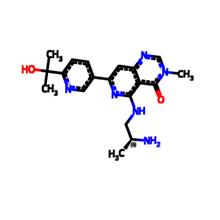 C[C@H](N)CNc1nc(-c2ccc(C(C)(C)O)nc2)cc2ncn(C)c(=O)c12